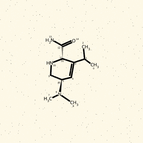 CC(C)C1=C[C@@H](N(C)C)CN[C@@H]1C(N)=O